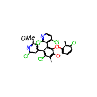 COc1cc(-c2c(Cl)c(C)c([O])c(Oc3cccc(Cl)c3C)c2-c2c(Cl)ccnc2Cl)cc(Cl)n1